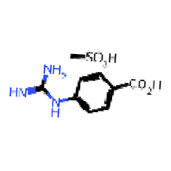 CS(=O)(=O)O.N=C(N)Nc1ccc(C(=O)O)cc1